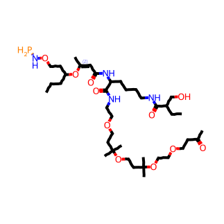 CCCC(CCONP)O/C(C)=C\C(=O)NC(CCCCNC(=O)C(CC)CO)C(=O)NCCOCCC(C)(C)OCCC(C)(C)OCCOCCC(C)=O